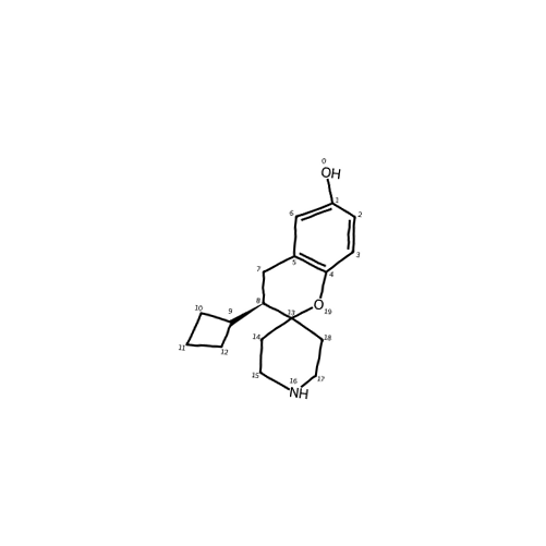 Oc1ccc2c(c1)C[C@H](C1CCC1)C1(CCNCC1)O2